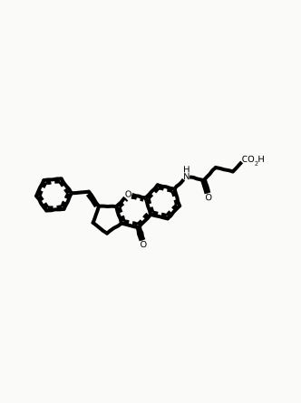 O=C(O)CCC(=O)Nc1ccc2c(=O)c3c(oc2c1)C(=Cc1ccccc1)CC3